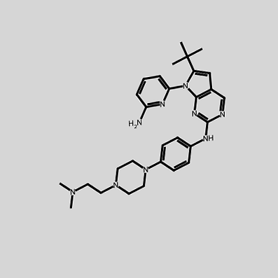 CN(C)CCN1CCN(c2ccc(Nc3ncc4cc(C(C)(C)C)n(-c5cccc(N)n5)c4n3)cc2)CC1